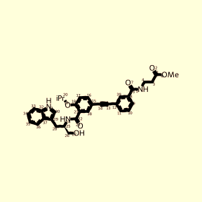 COC(=O)CCNC(=O)c1cccc(C#Cc2ccc(OC(C)C)c(C(=O)N[C@@H](CO)Cc3c[nH]c4ccccc34)c2)c1